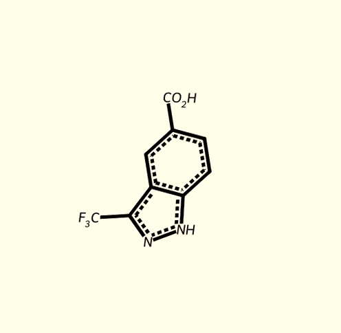 O=C(O)c1ccc2[nH]nc(C(F)(F)F)c2c1